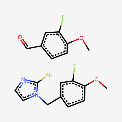 COc1ccc(C=O)cc1F.COc1ccc(Cn2ccnc2S)cc1F